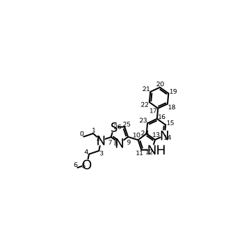 CCN(CCOC)c1nc(-c2c[nH]c3ncc(-c4ccccc4)cc23)cs1